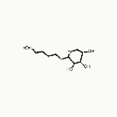 CCCCCCCCCCCCSC1OC[C@@H](O)[C@H](O)[C@H]1O